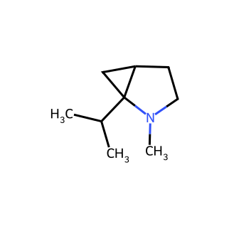 CC(C)C12CC1CCN2C